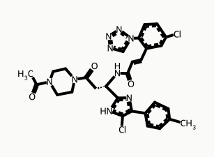 CC(=O)N1CCN(C(=O)C[C@H](NC(=O)/C=C/c2cc(Cl)ccc2-n2cnnn2)c2nc(-c3ccc(C)cc3)c(Cl)[nH]2)CC1